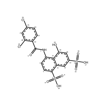 O=C(Nc1ccc(S(=O)(=O)O)c2cc(S(=O)(=O)O)cc(O)c12)c1ccc(Cl)cc1Cl